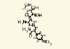 NC(=O)C(CN1C=C(N)N([C@@H]2O[C@H](CO)[C@@H](O)[C@H]2O)C1)c1ccc([N+](=O)[O-])cc1